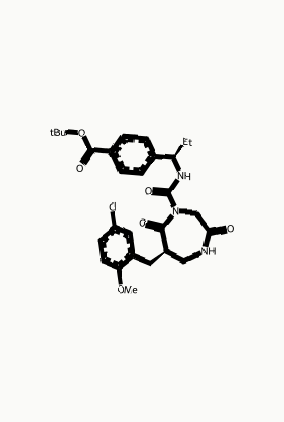 CC[C@@H](NC(=O)N1CC(=O)NC[C@@H](Cc2cc(Cl)ccc2OC)C1=O)c1ccc(C(=O)OC(C)(C)C)cc1